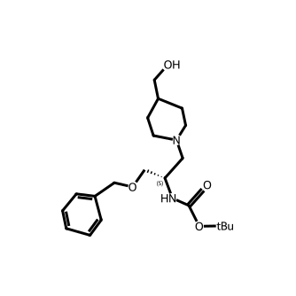 CC(C)(C)OC(=O)N[C@H](COCc1ccccc1)CN1CCC(CO)CC1